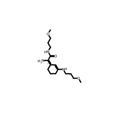 COCCCNC(=O)/C(N)=C1\C=C(NCCCOC)CCC1